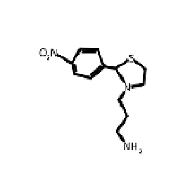 NCCCN1CCSC1c1ccc([N+](=O)[O-])cc1